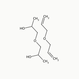 C=CCOCC=C.CC(O)COCC(C)O